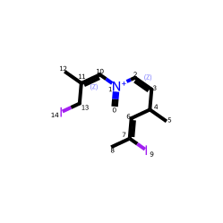 C=[N+](/C=C\C(C)C=C(C)I)/C=C(/C)CI